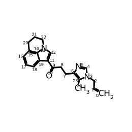 C=CCn1cnc(CCC(=O)c2cn3c4c(cccc24)CCC3)c1C